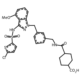 COc1cccc2c1c(NS(=O)(=O)c1ccc(Cl)s1)nn2Cc1cccc(CNC(=O)C2CCC(C(=O)O)CC2)c1